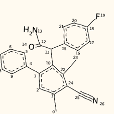 Cc1cc(-c2ccccc2)c(C(C(N)=O)c2ccc(F)cc2)c(C)c1C#N